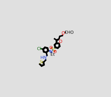 CCN(c1ccc(Cl)cc1CNCc1cccs1)S(=O)(=O)c1ccc2oc(CCOC=O)c(C)c2c1